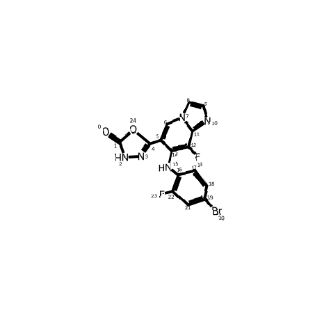 O=c1[nH]nc(-c2cn3ccnc3c(F)c2Nc2ccc(Br)cc2F)o1